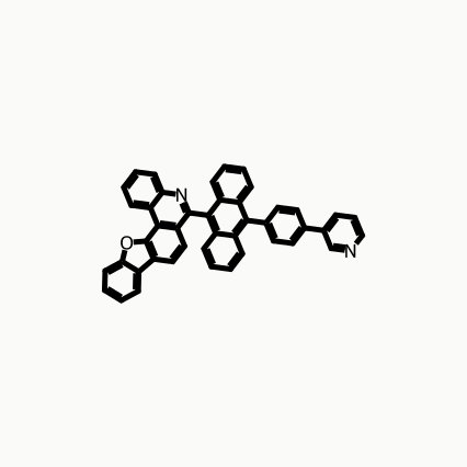 c1cncc(-c2ccc(-c3c4ccccc4c(-c4nc5ccccc5c5c4ccc4c6ccccc6oc45)c4ccccc34)cc2)c1